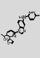 Cc1ccc(Nc2ccc3c(c2)ncn3-c2ccc(C(C)O)c(-c3ccoc3)n2)nn1